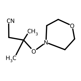 CC(C)(CC#N)ON1CCOCC1